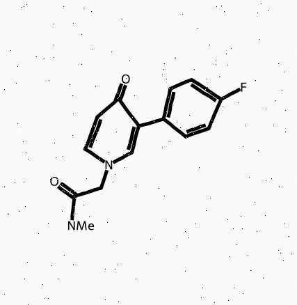 CNC(=O)Cn1ccc(=O)c(-c2ccc(F)cc2)c1